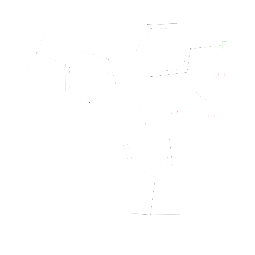 CC(C)(C)c1ccc([I+]c2ccc(C(C)(C)C)cc2)cc1.O=S(=O)([O-])c1ccccc1F